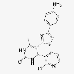 CC1=C(c2nc(-c3ccc(N)cc3)cs2)C(c2cccnc2Cl)NC(=O)N1